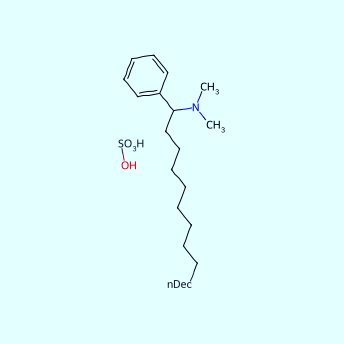 CCCCCCCCCCCCCCCCCCC(c1ccccc1)N(C)C.O=S(=O)(O)O